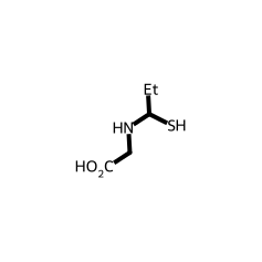 CCC(S)NCC(=O)O